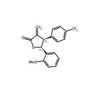 C=C1C(=O)O[C@H](c2ccccc2OC)[C@@H]1c1ccc(C(F)(F)F)cc1